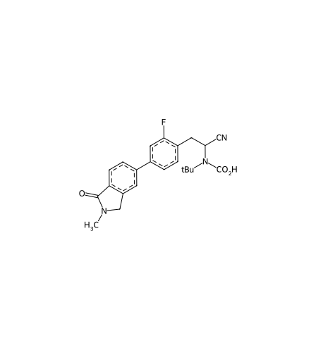 CN1Cc2cc(-c3ccc(CC(C#N)N(C(=O)O)C(C)(C)C)c(F)c3)ccc2C1=O